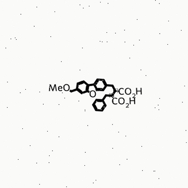 COCc1ccc2c(c1)oc1cc(C[C@H](C(=O)O)[C@H](Cc3ccccc3)C(=O)O)ccc12